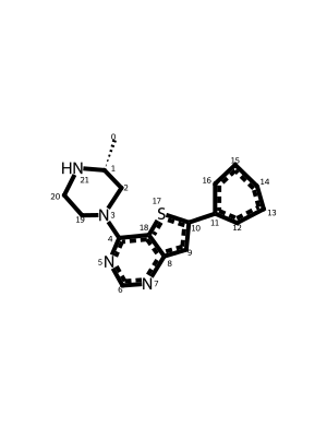 C[C@@H]1CN(c2ncnc3cc(-c4ccccc4)sc23)CCN1